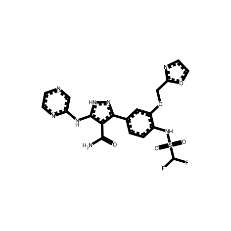 NC(=O)c1c(-c2ccc(NS(=O)(=O)C(F)F)c(OCc3ncco3)c2)n[nH]c1Nc1cnccn1